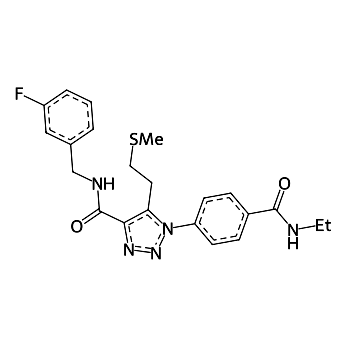 CCNC(=O)c1ccc(-n2nnc(C(=O)NCc3cccc(F)c3)c2CCSC)cc1